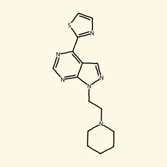 c1csc(-c2ncnc3c2cnn3CCN2CCCCC2)n1